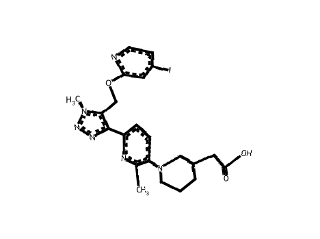 Cc1nc(-c2nnn(C)c2COc2cc(I)ccn2)ccc1N1CCCC(CC(=O)O)C1